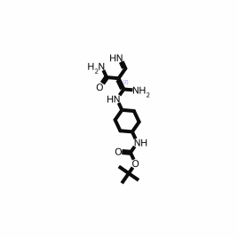 CC(C)(C)OC(=O)NC1CCC(N/C(N)=C(/C=N)C(N)=O)CC1